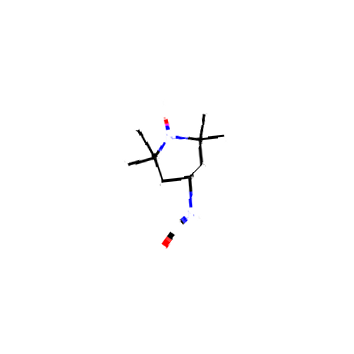 CC1(C)CC(N=C=O)CC(C)(C)N1[O]